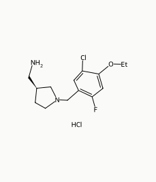 CCOc1cc(F)c(CN2CC[C@@H](CN)C2)cc1Cl.Cl